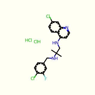 CC(C)(CNc1ccnc2cc(Cl)ccc12)NCc1ccc(Cl)c(F)c1.Cl.Cl